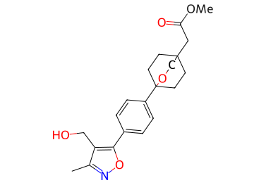 COC(=O)CC12CCC(c3ccc(-c4onc(C)c4CO)cc3)(CC1)OC2